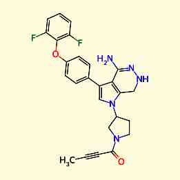 CC#CC(=O)N1CCC(n2cc(-c3ccc(Oc4c(F)cccc4F)cc3)c3c2CNN=C3N)C1